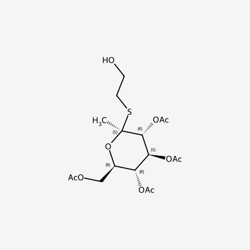 CC(=O)OC[C@H]1O[C@@](C)(SCCO)[C@H](OC(C)=O)[C@@H](OC(C)=O)[C@@H]1OC(C)=O